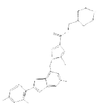 Cc1cc(C(=O)NCC2CCNCC2)nn1Cc1cc(Cl)cc2cc(-c3ccc(F)cc3Cl)oc12